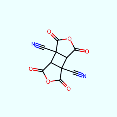 N#CC12C(=O)OC(=O)C1C1(C#N)C(=O)OC(=O)C21